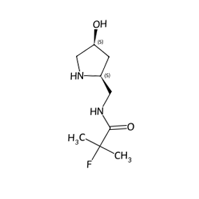 CC(C)(F)C(=O)NC[C@@H]1C[C@H](O)CN1